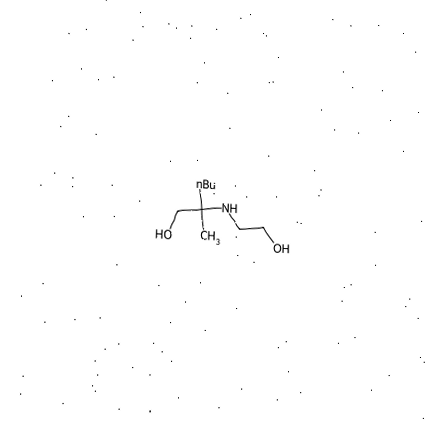 CCCCC(C)(CO)NCCO